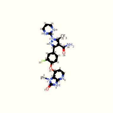 CC(C)n1c(=O)[nH]c2nccc(Oc3ccc(-c4nn(-c5ncccn5)c(C(F)(F)F)c4C(N)=O)cc3F)c21